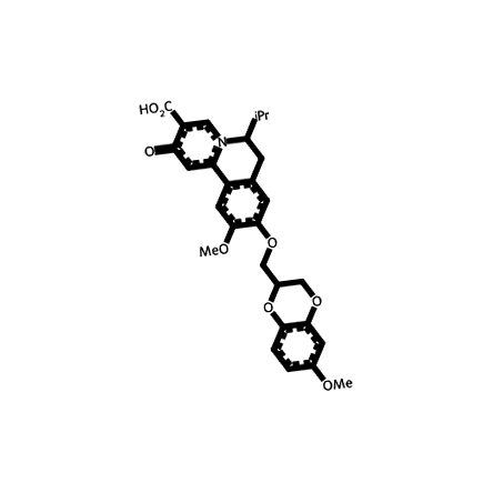 COc1ccc2c(c1)OCC(COc1cc3c(cc1OC)-c1cc(=O)c(C(=O)O)cn1C(C(C)C)C3)O2